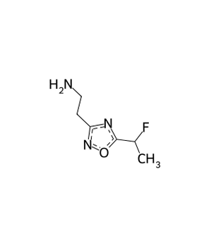 CC(F)c1nc(CCN)no1